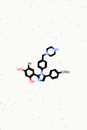 COc1ccc(-c2cnc(-c3cc(C(C)C)c(O)cc3O)n2-c2ccc(CN3CCNCC3)cc2)cc1